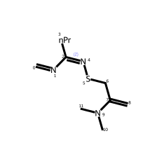 C=N/C(CCC)=N\SCC(=C)N(C)C